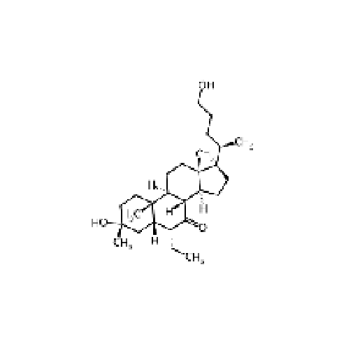 CC[C@H]1C(=O)[C@@H]2[C@H](CC[C@]3(C)[C@@H]([C@H](C)CCCO)CC[C@@H]23)[C@@]2(C)CC[C@@](C)(O)C[C@@H]12